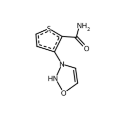 NC(=O)c1sccc1N1C=CON1